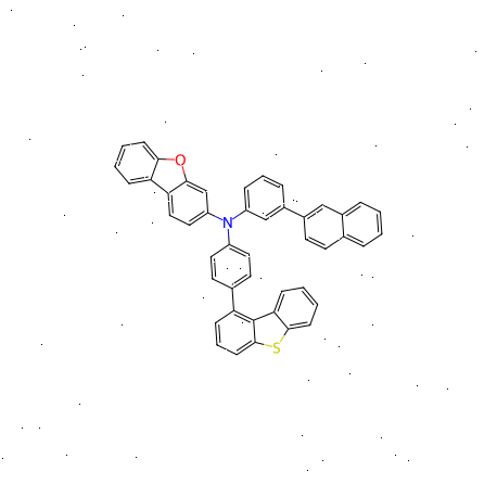 c1cc(-c2ccc3ccccc3c2)cc(N(c2ccc(-c3cccc4sc5ccccc5c34)cc2)c2ccc3c(c2)oc2ccccc23)c1